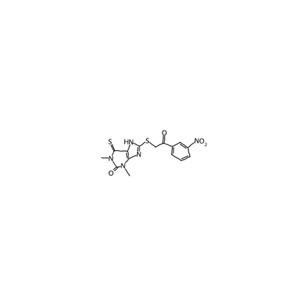 Cn1c(=S)c2[nH]c(SCC(=O)c3cccc([N+](=O)[O-])c3)nc2n(C)c1=O